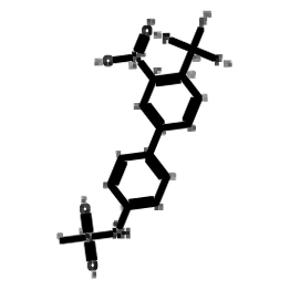 CS(=O)(=O)Nc1ccc(-c2ccc(C(F)(F)F)c([N+](=O)[O-])c2)cc1